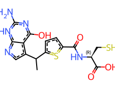 CC(c1ccc(C(=O)N[C@@H](CS)C(=O)O)s1)c1cnc2[nH]c(N)nc(O)c1-2